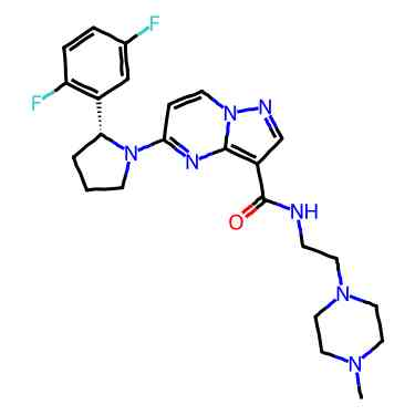 CN1CCN(CCNC(=O)c2cnn3ccc(N4CCC[C@@H]4c4cc(F)ccc4F)nc23)CC1